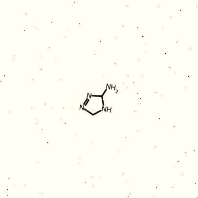 NC1N=NCN1